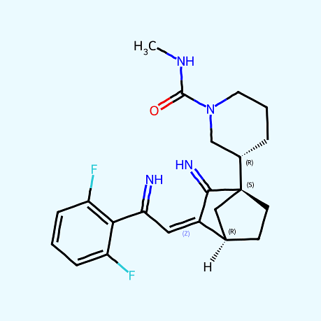 CNC(=O)N1CCC[C@H]([C@]23CC[C@H](C2)/C(=C/C(=N)c2c(F)cccc2F)C3=N)C1